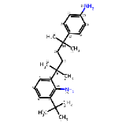 CC(C)(C)c1cccc(C(C)(C)CCC(C)(C)c2ccc(N)cc2)c1N